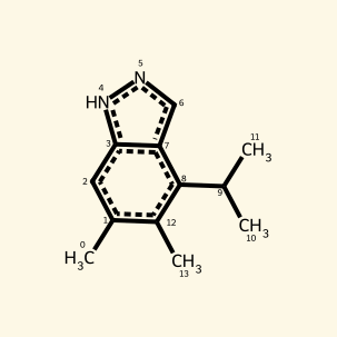 Cc1cc2[nH]ncc2c(C(C)C)c1C